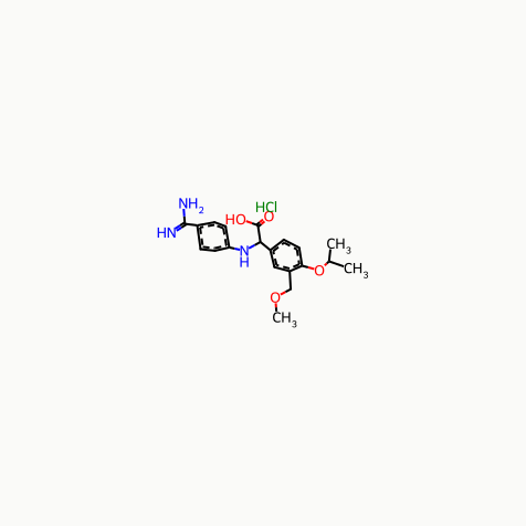 COCc1cc(C(Nc2ccc(C(=N)N)cc2)C(=O)O)ccc1OC(C)C.Cl